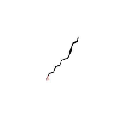 CC=CC#CCCCCCCBr